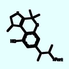 CCCCCC(C)C(C)c1cc(O)c2c(c1)OC(C)(C)C1=C2C(C)CS1